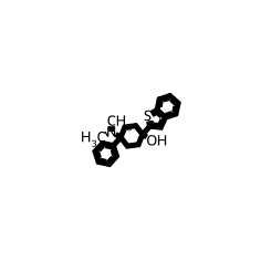 CN(C)C1(c2ccccc2)CCC(O)(c2cc3ccccc3s2)CC1